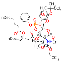 CCCCCCCCCCCCCC(=O)O[C@H](CCCCCCCCCCC)CC(=O)O[C@H]1[C@H](OP(=O)(Oc2ccccc2)Oc2ccccc2)[C@@H](COC(=O)OC(C)(C)C(Cl)(Cl)Cl)O[C@H](OCC)[C@]1(NC(=O)OCC(Cl)(Cl)Cl)[Si](C)(C)C